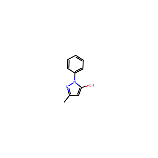 Cc1cc(O)n(-c2ccccc2)n1